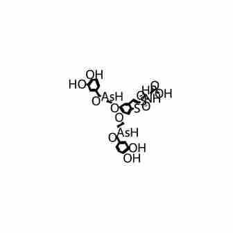 O=C([AsH]CCOc1cc2cc(S(=O)(=O)NC[PH](=O)O)sc2cc1OCC[AsH]C(=O)c1ccc(O)c(O)c1)c1ccc(O)c(O)c1